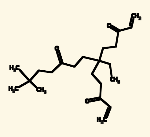 C=CC(=O)CCC(CC)(CCC(=O)C=C)CCC(=O)CCC(C)(C)C